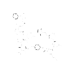 CC[C@H](C)[C@@H]([C@@H](CC(=O)N1CCC[C@H]1[C@H](OC)[C@@H](C)C(=O)N[C@H](C)[C@@H](O)c1ccccc1)OC)N(C)C(=O)[C@@H](NC(=O)[C@H](C(C)C)N(C)C(=O)OCc1ccc(NC(=O)[C@H](CCCCN)NC(=O)[C@H](CC(C)C)NC(=O)[C@@H](CC(C)C)NC(=O)CCN2C(=O)C=CC2=O)cc1)C(C)C